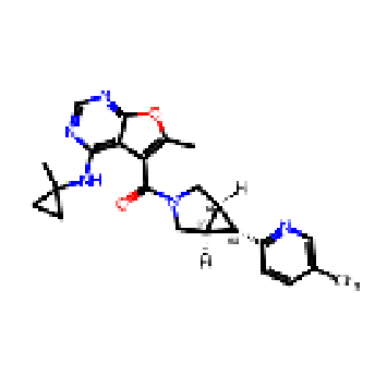 Cc1oc2ncnc(NC3(C)CC3)c2c1C(=O)N1C[C@@H]2[C@H](C1)[C@H]2c1ccc(C(F)(F)F)cn1